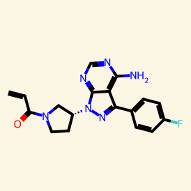 C=CC(=O)N1CC[C@@H](n2nc(-c3ccc(F)cc3)c3c(N)ncnc32)C1